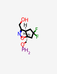 OCC1=NO[C@]2(COP)CC(F)(F)C[C@H]12